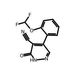 N#Cc1c(-c2ccccc2OC(F)F)cn[nH]c1=O